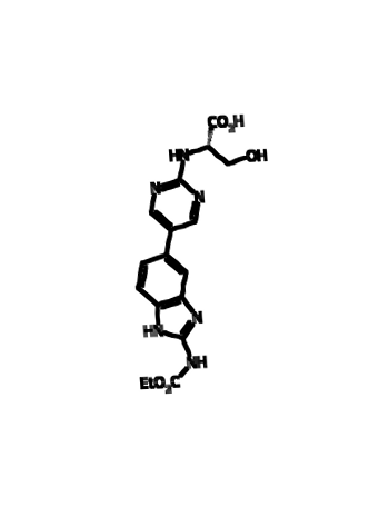 CCOC(=O)Nc1nc2cc(-c3cnc(N[C@@H](CO)C(=O)O)nc3)ccc2[nH]1